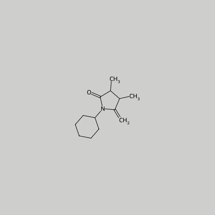 C=C1C(C)C(C)C(=O)N1C1CCCCC1